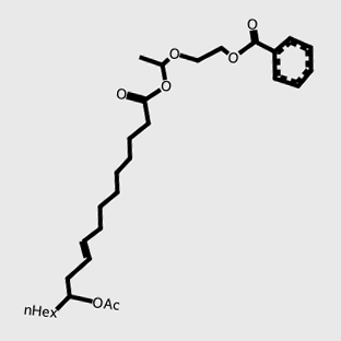 CCCCCCC(CC=CCCCCCCCC(=O)OC(C)OCCOC(=O)c1ccccc1)OC(C)=O